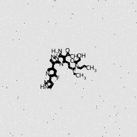 CCCN(C(=O)CO)[C@H](CC)CCc1nc2c(-c3cnc(-c4cc[nH]n4)c(F)c3)cnn2c(N)c1C(C)=O